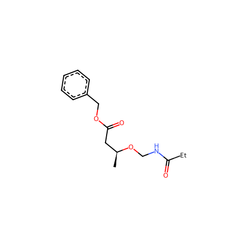 CCC(=O)NCO[C@@H](C)CC(=O)OCc1ccccc1